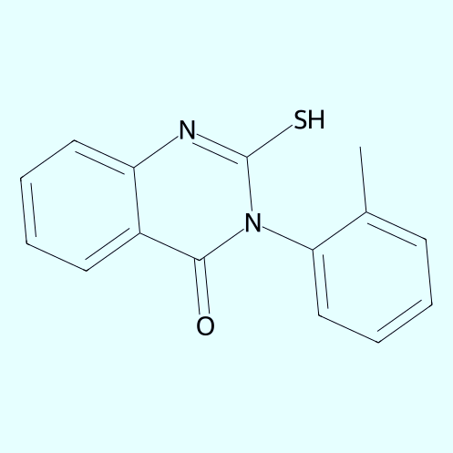 Cc1ccccc1-n1c(S)nc2ccccc2c1=O